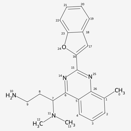 Cc1cccc2c(C(CCN)N(C)C)nc(-c3cc4ccccc4o3)nc12